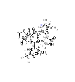 CC(C)(C)[C@H](NC(=O)C(F)(F)F)C(=O)N1C[C@@H]2CCC[C@@H]2[C@H]1C(=O)N[C@@H](/C=C(/F)S(C)(=O)=O)C[C@@H]1CCNC1=O